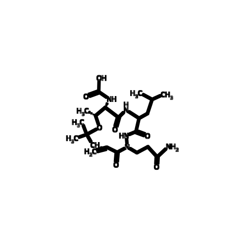 C=CC(=O)N(CCC(N)=O)NC(=O)C(CC(C)C)NC(=O)[C@@H](NC(=O)O)[C@@H](C)OC(C)(C)C